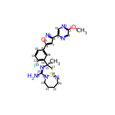 COc1cnc(-c2cc(-c3ccc(F)c([C@]4(C)C[S@@]5=NCCCCN5C(N)=N4)c3)on2)cn1